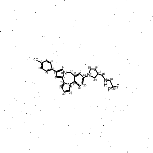 Fc1ccc(-c2cc3n(c2)Cc2cc(N4CCC(CNCC(F)F)C4)ccc2-n2ccnc2-3)cc1